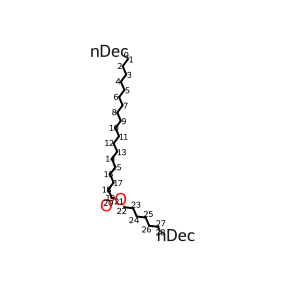 CCCCCCCCCCCCCCCCCCCCCCCCCCCCC(=O)OCCCCCCCCCCCCCCCC